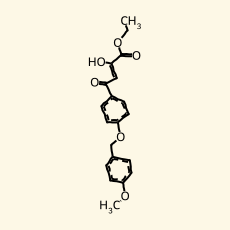 CCOC(=O)C(O)=CC(=O)c1ccc(OCc2ccc(OC)cc2)cc1